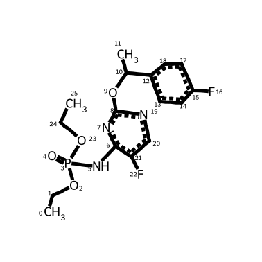 CCOP(=O)(Nc1nc(OC(C)c2ccc(F)cc2)ncc1F)OCC